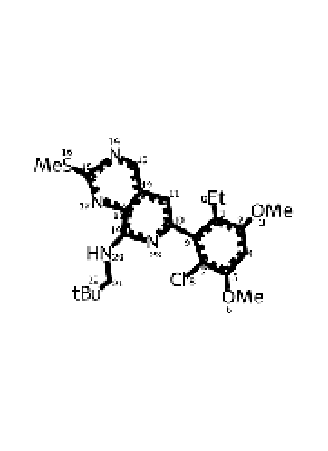 CCc1c(OC)cc(OC)c(Cl)c1-c1cc2cnc(SC)nc2c(NCC(C)(C)C)n1